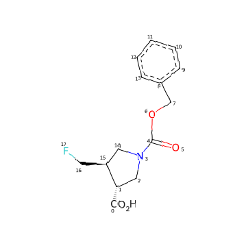 O=C(O)[C@H]1CN(C(=O)OCc2ccccc2)C[C@@H]1CF